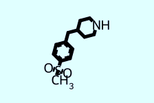 CS(=O)(=O)c1ccc(CC2CCNCC2)cc1